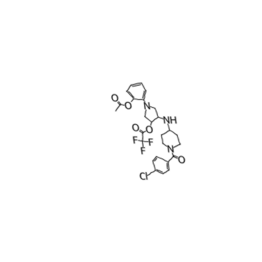 CC(=O)Oc1ccccc1N1CC(NC2CCN(C(=O)c3ccc(Cl)cc3)CC2)C(OC(=O)C(F)(F)F)C1